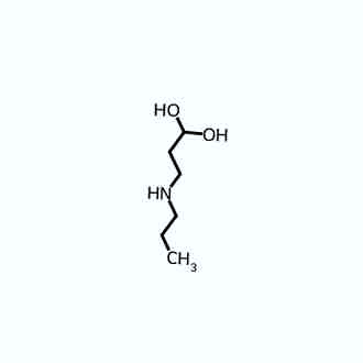 CCCNCCC(O)O